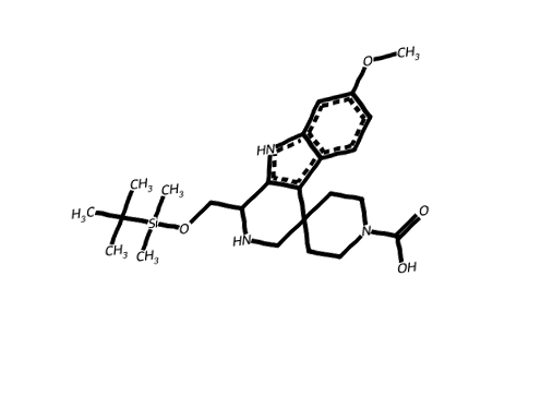 COc1ccc2c3c([nH]c2c1)C(CO[Si](C)(C)C(C)(C)C)NCC31CCN(C(=O)O)CC1